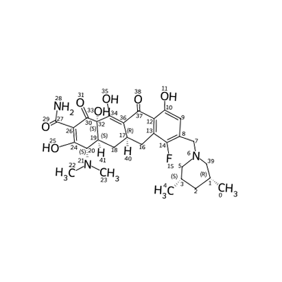 C[C@@H]1C[C@H](C)CN(Cc2cc(O)c3c(c2F)C[C@H]2C[C@H]4[C@H](N(C)C)C(O)=C(C(N)=O)C(=O)[C@@]4(O)C(O)=C2C3=O)C1